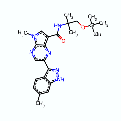 Cc1ccc2c(-c3cnc4c(n3)c(C(=O)NC(C)(C)CO[Si](C)(C)C(C)(C)C)cn4C)n[nH]c2c1